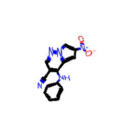 N#Cc1cnn2cc([N+](=O)[O-])cc2c1Nc1ccccc1